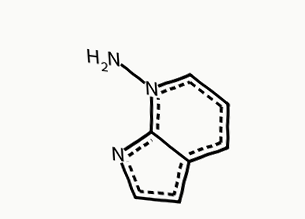 Nn1cccc2ccnc1-2